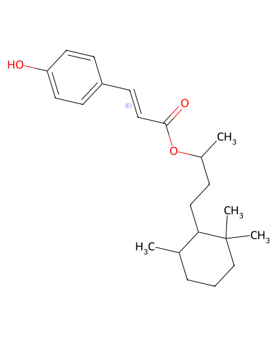 CC(CCC1C(C)CCCC1(C)C)OC(=O)/C=C/c1ccc(O)cc1